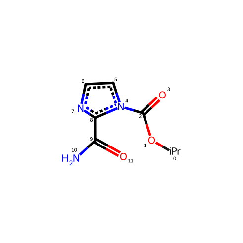 CC(C)OC(=O)n1ccnc1C(N)=O